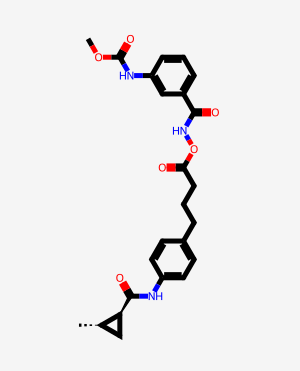 COC(=O)Nc1cccc(C(=O)NOC(=O)CCCc2ccc(NC(=O)[C@H]3C[C@@H]3C)cc2)c1